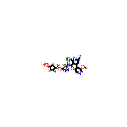 COc1cnccc1-c1cc(C)nc(Cl)c1C(=O)Nc1nnc(OC[C@H]2CC[C@H](O)C2)s1